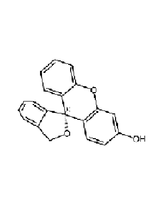 Oc1ccc2c(c1)Oc1ccccc1[C@@]21OCc2ccccc21